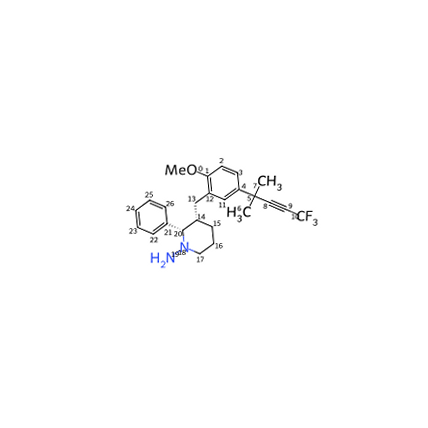 COc1ccc(C(C)(C)C#CC(F)(F)F)cc1C[C@@H]1CCCN(N)[C@@H]1c1ccccc1